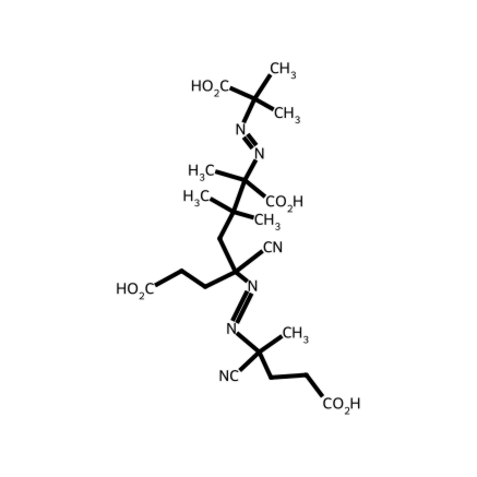 CC(C#N)(CCC(=O)O)N=NC(C#N)(CCC(=O)O)CC(C)(C)C(C)(N=NC(C)(C)C(=O)O)C(=O)O